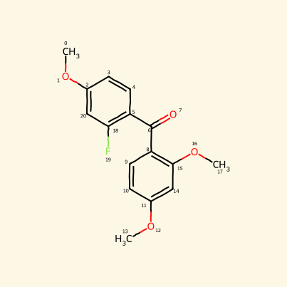 COc1ccc(C(=O)c2ccc(OC)cc2OC)c(F)c1